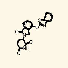 O=C1CCC(N2Cc3c(Oc4nc5ccccc5s4)cccc3C2=O)C(=O)N1